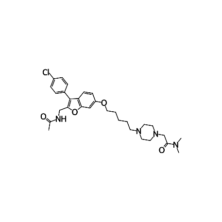 CC(=O)NCc1oc2cc(OCCCCCN3CCN(CC(=O)N(C)C)CC3)ccc2c1-c1ccc(Cl)cc1